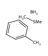 B.CSC.Cc1ccccc1